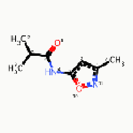 Cc1cc(NC(=O)C(C)C)on1